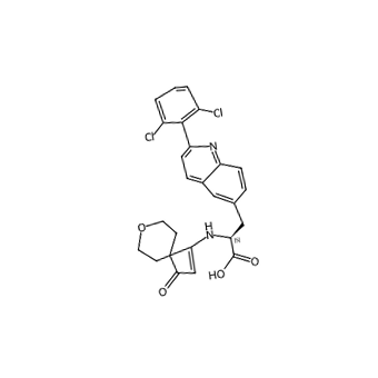 O=C(O)[C@H](Cc1ccc2nc(-c3c(Cl)cccc3Cl)ccc2c1)NC1=CC(=O)C12CCOCC2